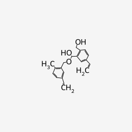 C=Cc1ccc(C)c(COC(O)c2cc(C=C)ccc2CO)c1